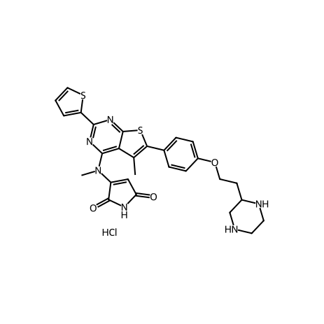 Cc1c(-c2ccc(OCCC3CNCCN3)cc2)sc2nc(-c3cccs3)nc(N(C)C3=CC(=O)NC3=O)c12.Cl